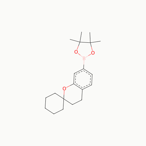 CC1(C)OB(c2ccc3c(c2)OC2(CCCCC2)CC3)OC1(C)C